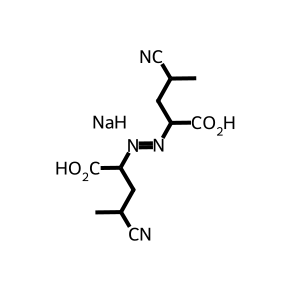 CC(C#N)CC(/N=N/C(CC(C)C#N)C(=O)O)C(=O)O.[NaH]